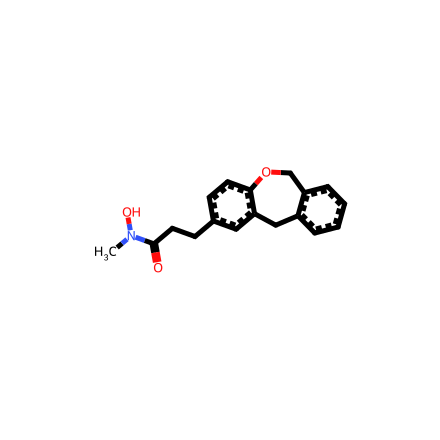 CN(O)C(=O)CCc1ccc2c(c1)Cc1ccccc1CO2